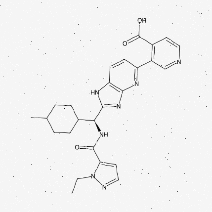 CCn1nccc1C(=O)N[C@H](c1nc2nc(-c3cnccc3C(=O)O)ccc2[nH]1)C1CCC(C)CC1